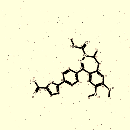 CNC(=O)N1N=C(c2ccc(-c3ccc(C(=O)O)s3)cc2)c2cc(OC)c(OC)cc2CC1C